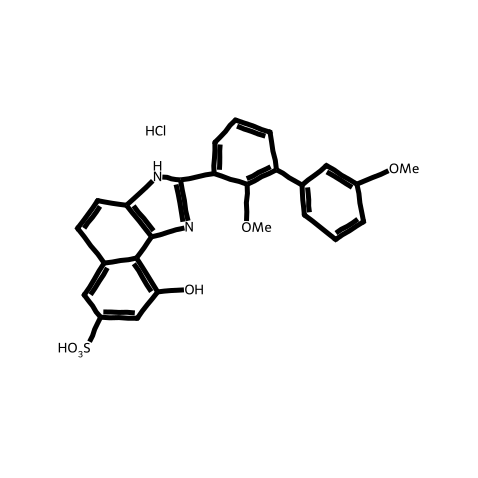 COc1cccc(-c2cccc(-c3nc4c(ccc5cc(S(=O)(=O)O)cc(O)c54)[nH]3)c2OC)c1.Cl